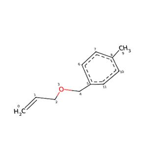 C=CCOCc1ccc(C)cc1